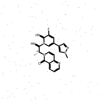 C[C@H](C(=N)n1cc(-c2cnn(C)c2)cc(F)c1=N)n1ccc2ncccc2c1=O